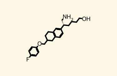 NC[C@H](CCCCO)c1ccc2c(c1)CCC(COc1ccc(F)cc1)C2